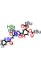 Br.CC(C)(C)C(=O)Oc1ccc(C(O)CN(NC(=O)CNC(=O)c2ccccc2)C(C)(C)C)cc1OC(=O)C(C)(C)C